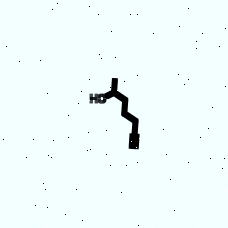 C#CCCCC(C)O